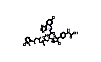 CC(CC(C)c1cccc(=O)n1C)CN(C)C(=O)C[C@H](NC(=O)/C=C/c1cc(Cl)ccc1-n1cnnn1)c1nc(-c2ccc(NC(=O)O)cc2)c(Cl)[nH]1